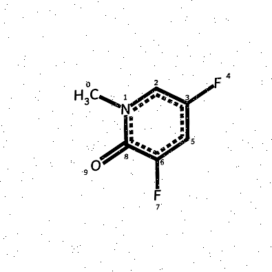 Cn1cc(F)cc(F)c1=O